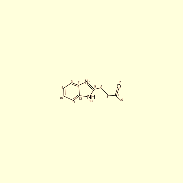 CC(=O)CCc1nc2ccccc2[nH]1